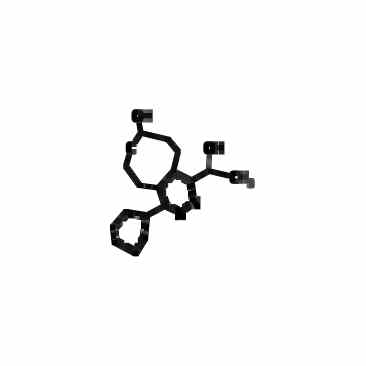 CC(O)c1nnc(-c2ccccc2)c2c1CCC(O)CCC2